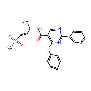 CC(C=CS(C)(=O)=O)NC(=O)c1cnc(-c2ccccc2)nc1Oc1ccccc1